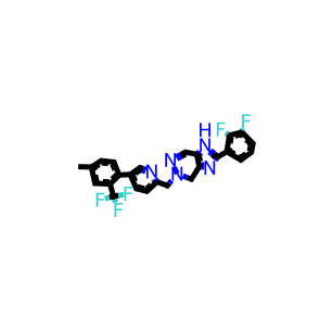 Cc1ccc(-c2ccc(CN3Cc4nc(-c5cccc(F)c5F)[nH]c4C=N3)nc2)c(C(F)(F)F)c1